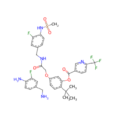 CC(C)(C)c1ccc(OCC(=O)NCc2ccc(NS(C)(=O)=O)c(F)c2)cc1OC(=O)c1ccc(C(F)(F)F)nc1.NCc1ccc(N)c(F)c1